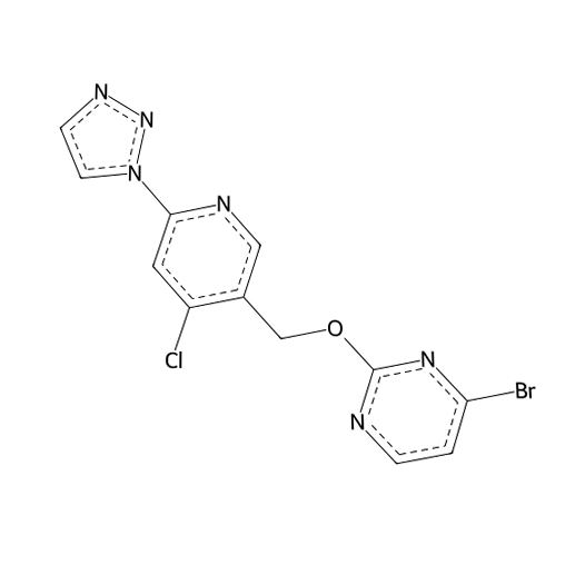 Clc1cc(-n2ccnn2)ncc1COc1nccc(Br)n1